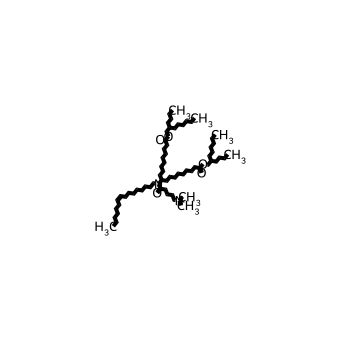 CCCCCC/C=C\CCCCCCCCN(C(=O)CCCCN(C)C)C(CCCCCCCCC(=O)OCC(CCCC)CCCCCC)CCCCCCCCC(=O)OCC(CCCC)CCCCCC